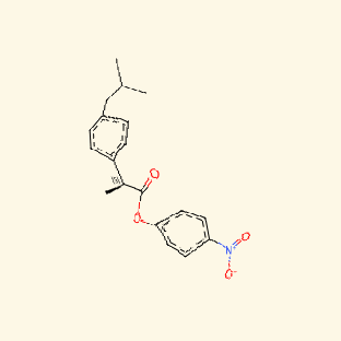 CC(C)Cc1ccc([C@H](C)C(=O)Oc2ccc([N+](=O)[O-])cc2)cc1